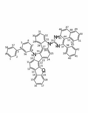 c1ccc(-c2cccc(-n3c4ccc5c6ccccc6oc5c4c4ccc5c(c6ccccc6n5-c5nc(-c6ccccc6)c6c(ccc7ccccc76)n5)c43)c2)cc1